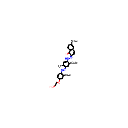 COc1cc(OCCO)ccc1/N=N/c1cc(OC)c(N/N=C2/C=Cc3cc(NC(C)=O)ccc3C2=O)cc1C